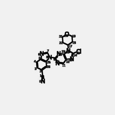 N#Cc1ccc2ncn(-c3ncc4nc(Cl)n(C5CCOCC5)c4n3)c2c1